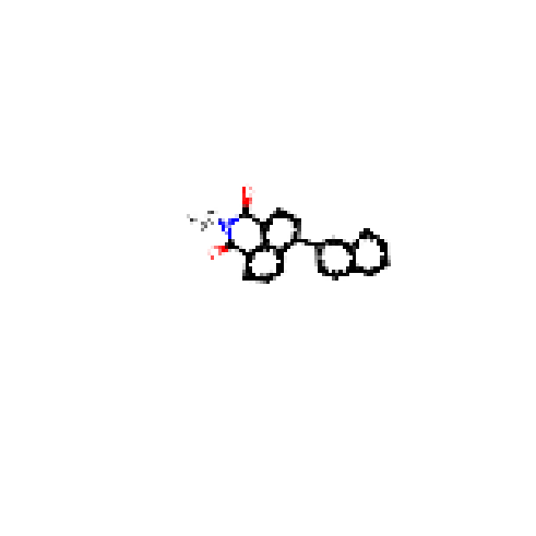 CN1C(=O)c2cccc3c(-c4ccc5ccccc5c4)ccc(c23)C1=O